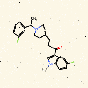 CC(c1cccc(F)c1)N1CCC(CCC(=O)c2cn(C)c3ccc(F)cc23)CC1